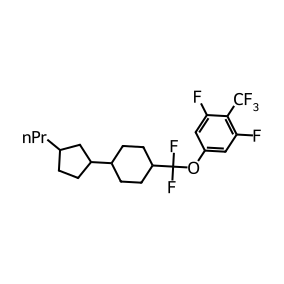 CCCC1CCC(C2CCC(C(F)(F)Oc3cc(F)c(C(F)(F)F)c(F)c3)CC2)C1